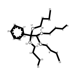 CCCCOC(OCCCC)C(OCCCC)(OCCCC)c1ccccc1